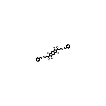 O=C(CCCOCc1ccccc1)C1C(=O)c2cc3c(cc2C1=O)C(=O)C(C(=O)CCCOCc1ccccc1)C3=O